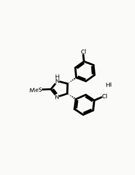 CSC1=N[C@@H](c2cccc(Cl)c2)[C@@H](c2cccc(Cl)c2)N1.I